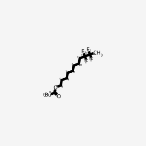 CC(C)(C)C(=O)OCCCCCCCCC(F)(F)C(C)(F)F